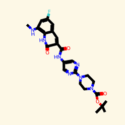 CNc1cc(F)cc2cc(C(=O)Nc3cnc(N4CCN(C(=O)OC(C)(C)C)CC4)nc3)c(=O)[nH]c12